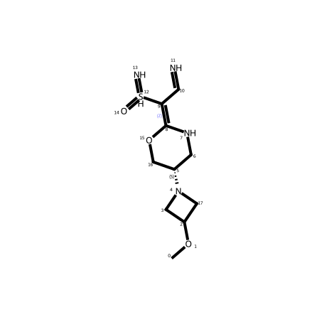 COC1CN([C@H]2CN/C(=C(\C=N)[SH](=N)=O)OC2)C1